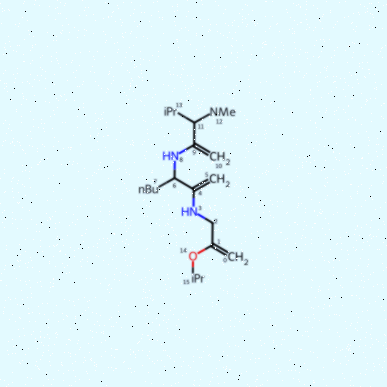 C=C(CNC(=C)C(CCCC)NC(=C)C(NC)C(C)C)OC(C)C